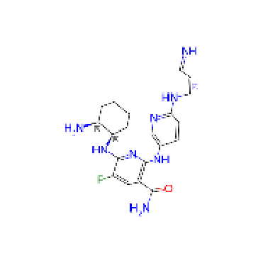 N=C/C=C\Nc1ccc(Nc2nc(N[C@@H]3CCCC[C@@H]3N)c(F)cc2C(N)=O)cn1